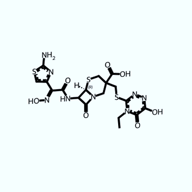 CCn1c(SCC2(C(=O)O)CS[C@@H]3C(NC(=O)C(=NO)c4csc(N)n4)C(=O)N3C2)nnc(O)c1=O